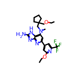 CCOCC1(CN(C)c2cc(-c3cc(OCC)nc(C(F)(F)F)c3)nc3nc(N)[nH]c23)CCCC1